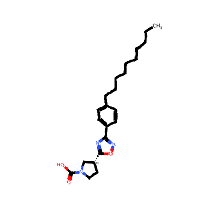 CCCCCCCCCCc1ccc(-c2noc([C@@H]3CCN(C(=O)O)C3)n2)cc1